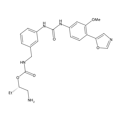 CC[C@@H](CN)OC(=O)NCc1cccc(NC(=O)Nc2ccc(-c3cnco3)c(OC)c2)c1